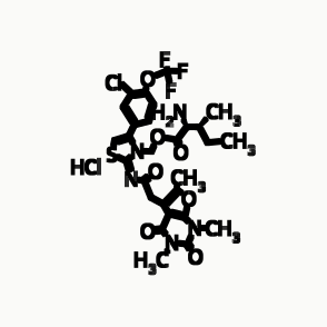 CC[C@H](C)[C@H](N)C(=O)OCn1c(-c2ccc(OC(F)(F)F)c(Cl)c2)csc1=NC(=O)Cc1c(C)oc2c1c(=O)n(C)c(=O)n2C.Cl